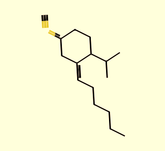 C#[SH]=C1CCC(C(C)C)/C(=C\CCCCC)C1